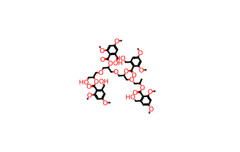 COc1cc(CO)c(C(=O)OC(C)COCC(COCC(COCC(CO)OC(=O)c2c(CO)cc(OC)cc2OC)OC(=O)c2c(CO)cc(OC)cc2OC)OC(=O)c2c(CO)cc(OC)cc2OC)c(OC)c1